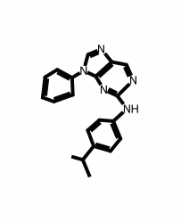 CC(C)c1ccc(Nc2ncc3ncn(-c4ccccc4)c3n2)cc1